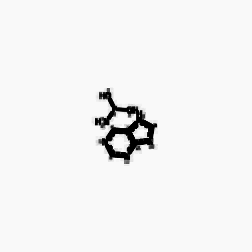 NP(O)O.c1ncc2[nH]cnc2n1